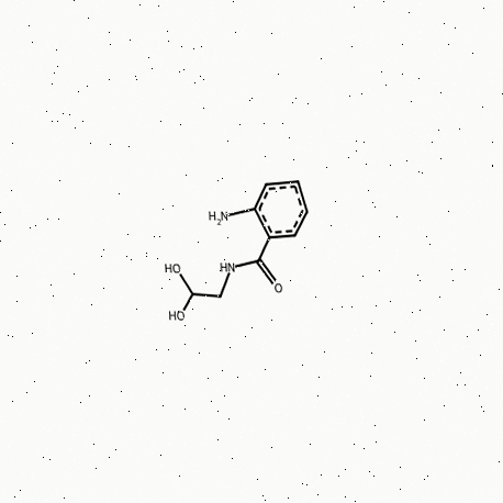 Nc1ccccc1C(=O)NCC(O)O